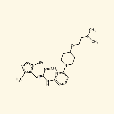 C=N/C(=C\c1c(C)ncn1C(C)C)Nc1ccnc(N2CCC(OCCN(C)C)CC2)n1